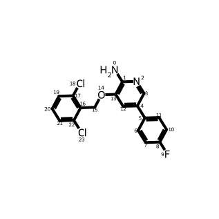 Nc1ncc(-c2ccc(F)cc2)cc1OCc1c(Cl)cccc1Cl